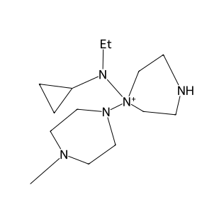 CCN(C1CC1)[N+]1(N2CCN(C)CC2)CCNCC1